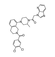 CC1CN(c2cccc3c2CN(C(=O)c2ccc(Cl)c(Cl)c2)CC3)CCN1C(=O)Cn1cnc2cccnc21